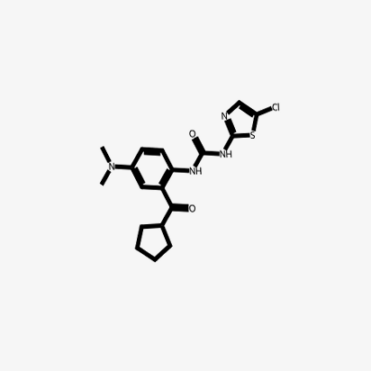 CN(C)c1ccc(NC(=O)Nc2ncc(Cl)s2)c(C(=O)C2CCCC2)c1